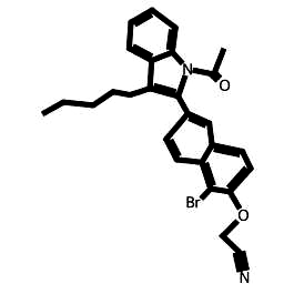 CCCCCc1c(-c2ccc3c(Br)c(OCC#N)ccc3c2)n(C(C)=O)c2ccccc12